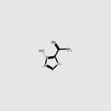 Cl.N=C(N)c1nnco1